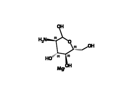 N[C@H]1C(O)O[C@H](CO)[C@@H](O)[C@@H]1O.[Mg]